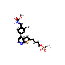 Cc1cc(-c2ccnc3sc(CCCCOS(C)(=O)=O)cc23)ccc1CNC(=O)OC(C)(C)C